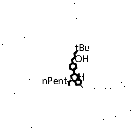 CCCCC[C@H](C)C1CC(C2=CCC(CC(O)CCC(C)(C)C)CC2)C[C@H]2C[C@@H](C)CC12